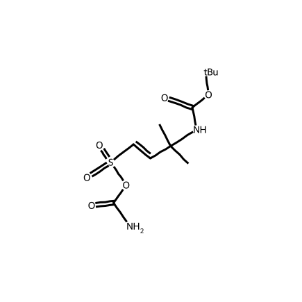 CC(C)(C=CS(=O)(=O)OC(N)=O)NC(=O)OC(C)(C)C